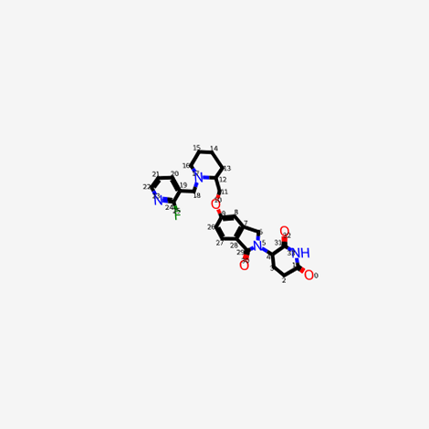 O=C1CCC(N2Cc3cc(OCC4CCCCN4Cc4cccnc4F)ccc3C2=O)C(=O)N1